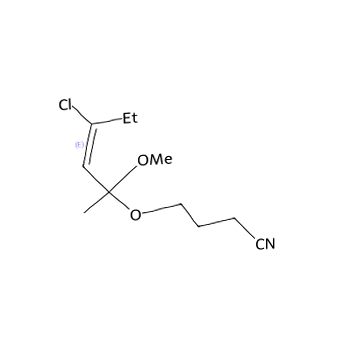 CC/C(Cl)=C\C(C)(OC)OCCCC#N